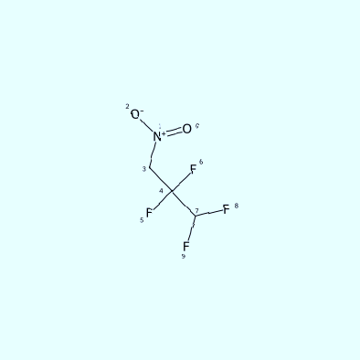 O=[N+]([O-])CC(F)(F)C(F)F